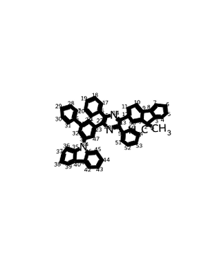 CC1(C)c2ccccc2-c2ccc(-c3nc(-c4ccccc4)c(-c4cc(-c5ccccc5)cc(-n5c6ccccc6c6ccccc65)c4)nc3-c3ccccc3)cc21